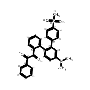 CN(C)c1ccc(-c2ccccc2C(=O)C(=O)c2ccccc2)c(-c2ccc(S(C)(=O)=O)cc2)c1